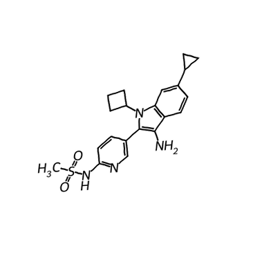 CS(=O)(=O)Nc1ccc(-c2c(N)c3ccc(C4CC4)cc3n2C2CCC2)cn1